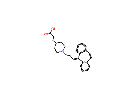 O=C(O)CCC1CCN(CCC=C2c3ccccc3C=Cc3ccccc32)CC1